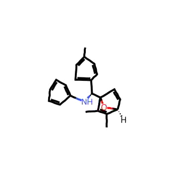 CC1=C(C)C2([C@@H](Nc3ccccc3)c3ccc(C)cc3)C=C[C@@H]1O2